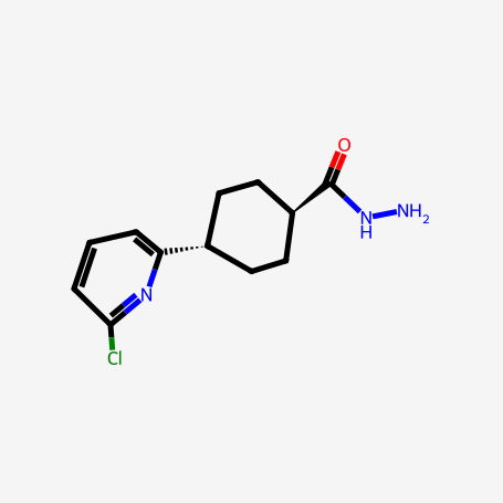 NNC(=O)[C@H]1CC[C@H](c2cccc(Cl)n2)CC1